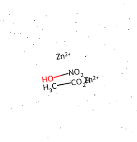 CC(=O)O.O=[N+]([O-])O.[Zn+2].[Zn+2]